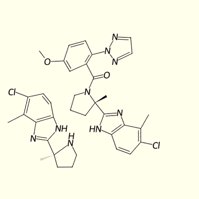 COc1ccc(-n2nccn2)c(C(=O)N2CCC[C@@]2(C)c2nc3c(C)c(Cl)ccc3[nH]2)c1.Cc1c(Cl)ccc2[nH]c([C@]3(C)CCCN3)nc12